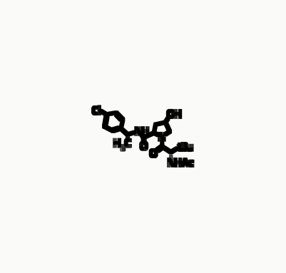 CC(=O)N[C@H](C(=O)N1CC(O)CC1C(=O)N[C@@H](C)c1ccc(Cl)cc1)C(C)(C)C